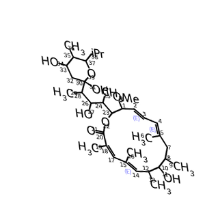 COC1/C=C/C=C(\C)CC(C)C(O)C(C)/C=C(\C)C=C(C)C(=O)OC1C(C)C(O)C(C)C1(O)CC(O)C(C)C(C(C)C)O1